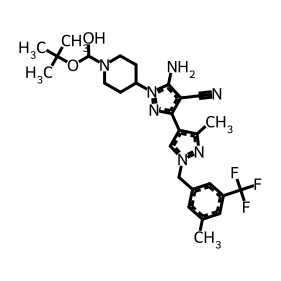 Cc1cc(Cn2cc(-c3nn(C4CCN(C(O)OC(C)(C)C)CC4)c(N)c3C#N)c(C)n2)cc(C(F)(F)F)c1